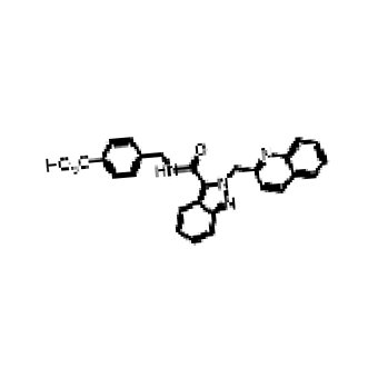 O=C(O)c1ccc(CNC(=O)c2c3ccccc3nn2Cc2ccc3ccccc3n2)cc1